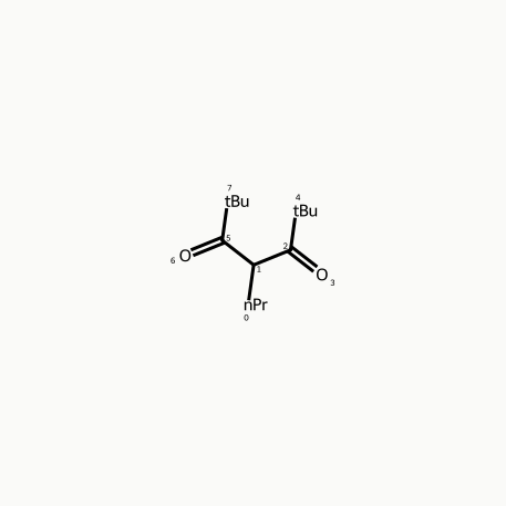 CCCC(C(=O)C(C)(C)C)C(=O)C(C)(C)C